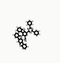 N#Cc1cc(-c2nc(-c3ccccc3)nc(-c3ccccc3)n2)c2oc3ccccc3c2c1-n1c2ccccc2c2cc3sc4ccccc4c3cc21